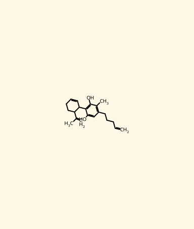 C=CCCCc1cc(O)c(C2C=CCCC2C(=C)C)c(O)c1C